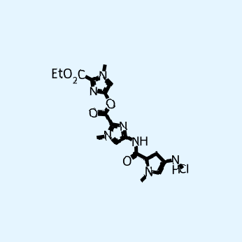 CCOC(=O)c1nc(OC(=O)c2nc(NC(=O)C3CC(NCl)=CN3C)cn2C)cn1C